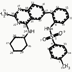 Cc1ccc(S(=O)(=O)Nc2ccccc2-c2ccc3nc(N)nc(NC4CCCCC4)c3c2)cc1